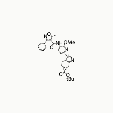 COc1nc(-n2cnc3c2CCN(C(=O)OC(C)(C)C)C3)ccc1NC(=O)c1c(-c2ccccc2)noc1C